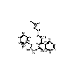 CN(C)CCCNc1nc(CN(C)Cc2ccccc2F)nc2ccccc12